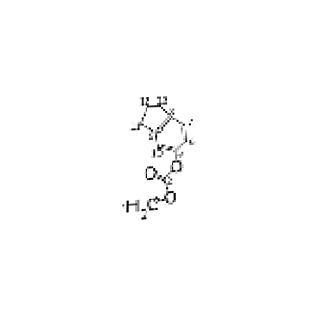 [CH2]OC(=O)Oc1ccc2c(c1)CCC2